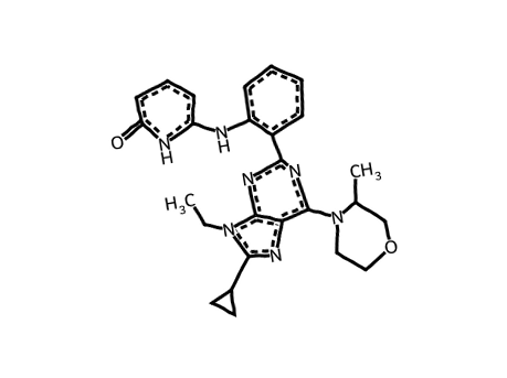 CCn1c(C2CC2)nc2c(N3CCOCC3C)nc(-c3ccccc3Nc3cccc(=O)[nH]3)nc21